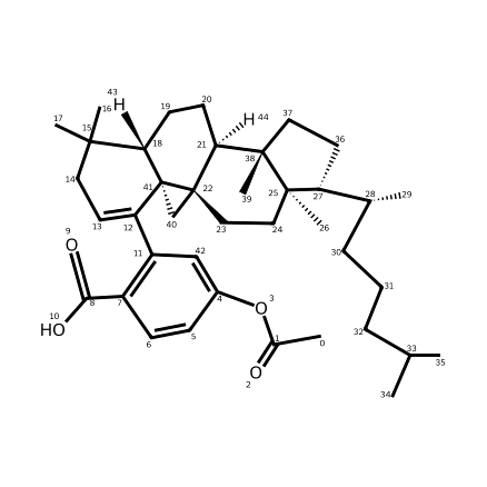 CC(=O)Oc1ccc(C(=O)O)c(C2=CCC(C)(C)[C@@H]3CC[C@@H]4[C@]5(CC[C@]6(C)[C@@H]([C@H](C)CCCC(C)C)CC[C@@]46C)C[C@]235)c1